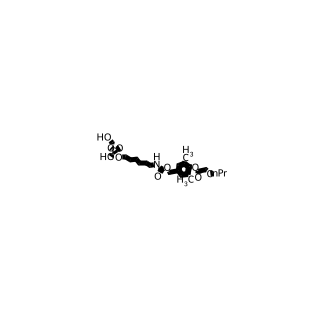 CCCOCC(=O)Oc1c(C)cc(COC(=O)NCCCCCCOP(=O)(O)OCO)cc1C